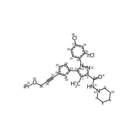 Cc1c(C(=O)NN2CCCCC2)nn(-c2ccc(Cl)cc2Cl)c1-c1ccc(C#CCOC(C)C)s1